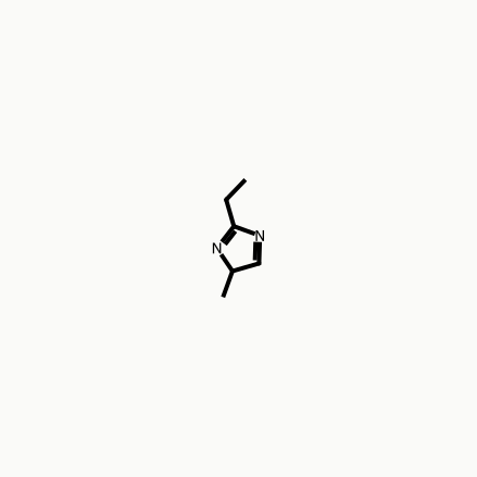 CCC1=NC(C)C=N1